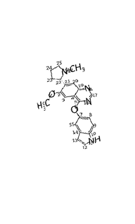 COc1cc2c(Oc3ccc4[nH]ccc4c3)ncnc2cc1[C@@H]1CCCN1C